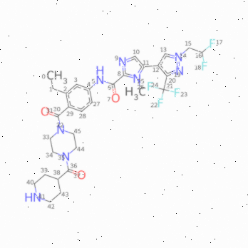 CCc1cc(NC(=O)c2ncc(-c3cn(CC(F)F)nc3C(F)(F)F)n2C)ccc1C(=O)N1CCN(C(=O)C2CCNCC2)CC1